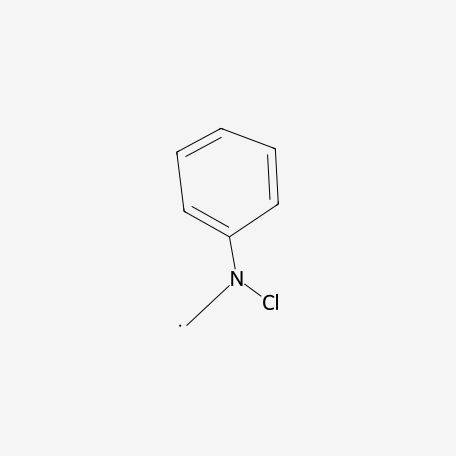 [CH2]N(Cl)c1ccccc1